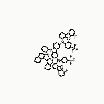 Fc1cccc2c1oc1c(N(c3ccc(C(F)(F)F)cc3)c3ccc4c(c3)c3cc(N(c5ccc(C(F)(F)F)cc5)c5cccc6c5oc5c(F)cccc56)cc5c3n4-c3ccccc3C53c4ccc5ccccc5c4-c4c3ccc3ccccc43)cccc12